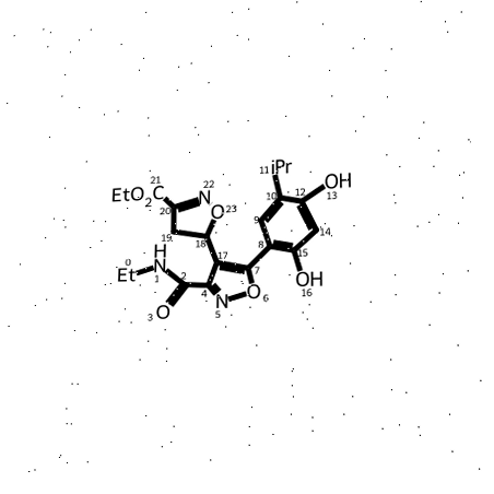 CCNC(=O)c1noc(-c2cc(C(C)C)c(O)cc2O)c1C1CC(C(=O)OCC)=NO1